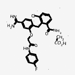 CC(=O)O.N=C(N)c1ccc(Cc2c(Cl)cccc2C(N)=O)c(OCC(=O)Nc2ccc(F)cc2)c1